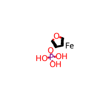 O=P(O)(O)O.[Fe].c1ccoc1